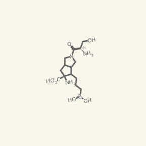 N[C@@H](CO)C(=O)N1CC2CC(N)(C(=O)O)C(CCCB(O)O)C2C1